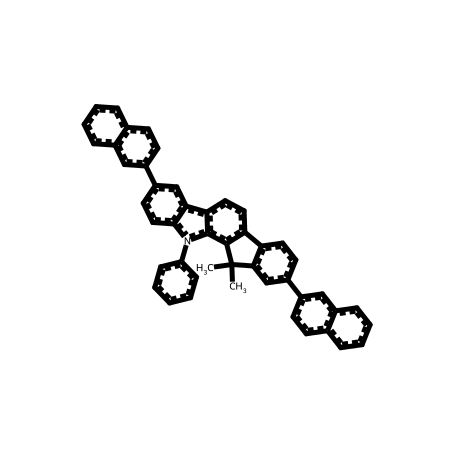 CC1(C)c2cc(-c3ccc4ccccc4c3)ccc2-c2ccc3c4cc(-c5ccc6ccccc6c5)ccc4n(-c4ccccc4)c3c21